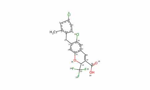 Cc1cc(Cl)ccc1Cc1cc2c(cc1Cl)C=C(C(=O)O)C(C(F)(F)F)O2